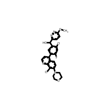 COc1ccc(C(O)c2cc(-c3ccnc4c(Cl)c(N5CCOCC5)ccc34)c(F)cc2Cl)nn1